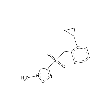 Cn1cnc(S(=O)(=O)Cc2ccccc2C2CC2)c1